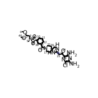 COC(CN(C)S(=O)(=O)c1cccc(C(=O)N2CCC3(CC2)CN/C(=C\C(=O)c2nc(Cl)c(N)nc2N)N3)c1)OC